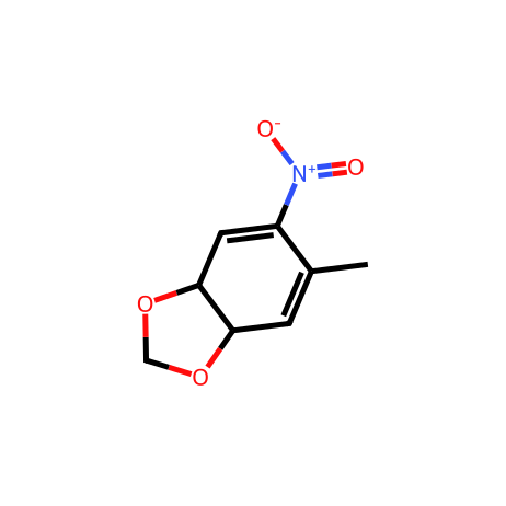 CC1=CC2OCOC2C=C1[N+](=O)[O-]